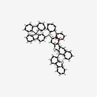 c1ccc(-c2ccccc2N(c2ccc3c(c2)C2(c4ccccc4-c4ccccc42)c2ccccc2-3)c2ccc3c(c2)oc2c(-c4cccc5c4oc4ccccc45)c4ccccc4cc23)cc1